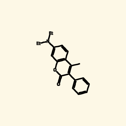 CCN(CC)c1ccc2c(C)c(-c3ccccc3)c(=O)oc2c1